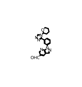 O=Cc1cnc2c(cnn2-c2cccc(-c3nncn3C3CCCCO3)c2)c1